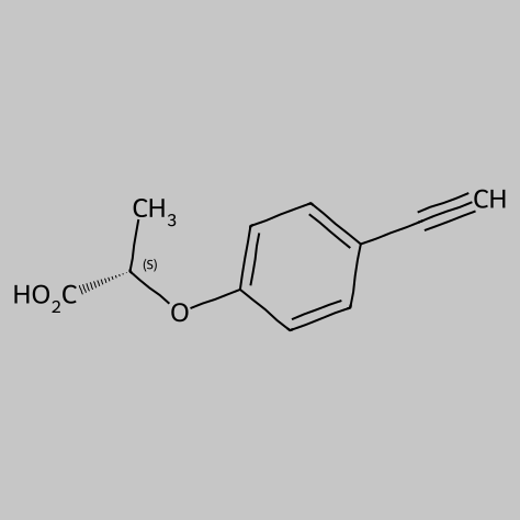 C#Cc1ccc(O[C@@H](C)C(=O)O)cc1